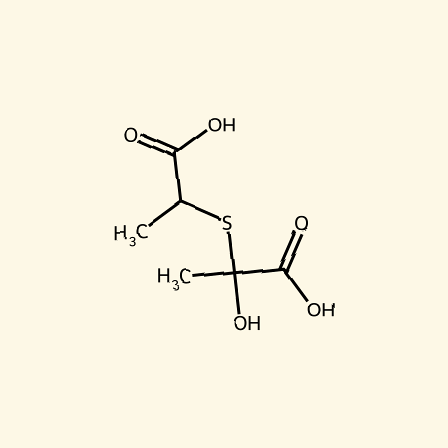 CC(SC(C)(O)C(=O)O)C(=O)O